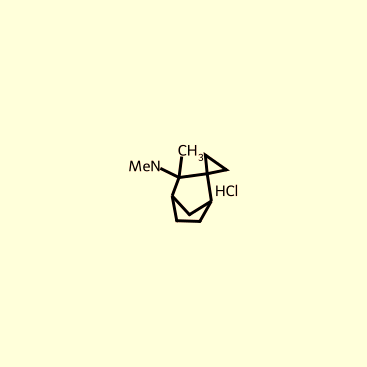 CNC1(C)C2CCC(C2)C12CC2.Cl